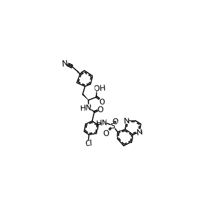 N#Cc1cccc(C[C@H](NC(=O)c2ccc(Cl)cc2NS(=O)(=O)c2cccc3nccnc23)C(=O)O)c1